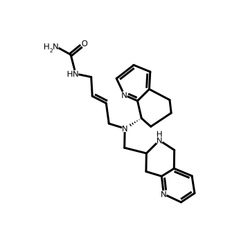 NC(=O)NC/C=C/CN(CC1Cc2ncccc2CN1)[C@H]1CCCc2cccnc21